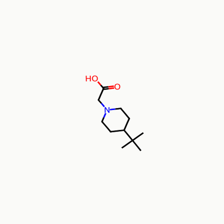 CC(C)(C)C1CCN(CC(=O)O)CC1